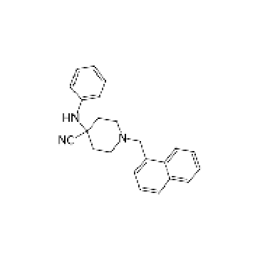 N#CC1(Nc2ccccc2)CCN(Cc2cccc3ccccc23)CC1